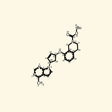 Cc1ncnc2c1ccn2[C@H]1C=C[C@@H](Oc2cccc3c2CN(C(=O)OC(C)(C)C)CC3)C1